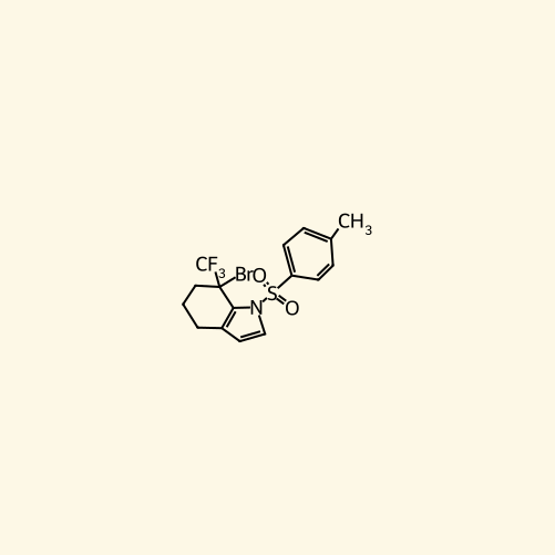 Cc1ccc(S(=O)(=O)n2ccc3c2C(Br)(C(F)(F)F)CCC3)cc1